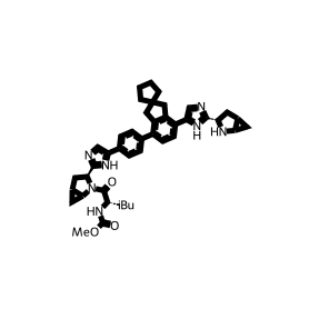 CCC(C)[C@H](NC(=O)OC)C(=O)N1C2CC2C[C@H]1c1ncc(-c2ccc(-c3ccc(-c4cnc([C@@H]5CC6CC6N5)[nH]4)c4c3CC3(CCCC3)C4)cc2)[nH]1